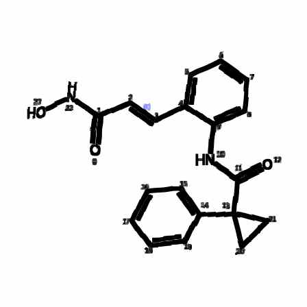 O=C(/C=C/c1ccccc1NC(=O)C1(c2ccccc2)CC1)NO